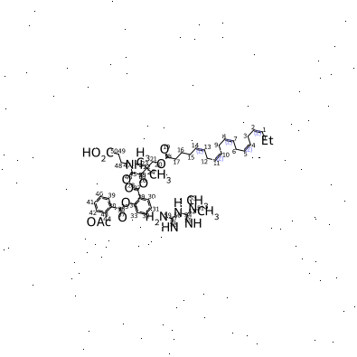 CC/C=C\C/C=C\C/C=C\C/C=C\C/C=C\CCCC(=O)OCC(C)(C)[C@@H](OC(=O)c1ccccc1OC(=O)c1ccccc1OC(C)=O)C(=O)NCCC(=O)O.CN(C)C(=N)NC(=N)N